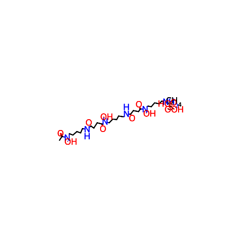 C.CC(=O)N(O)CCCCCNC(=O)CCC(=O)N(O)CCCCCNC(=O)CCC(=O)N(O)CCCCCN.O=S(=O)(O)O